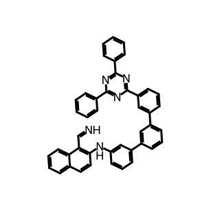 N=Cc1c(Nc2cccc(-c3cccc(-c4cccc(-c5nc(-c6ccccc6)nc(-c6ccccc6)n5)c4)c3)c2)ccc2ccccc12